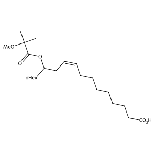 CCCCCCC(C/C=C\CCCCCCCC(=O)O)OC(=O)C(C)(C)OC